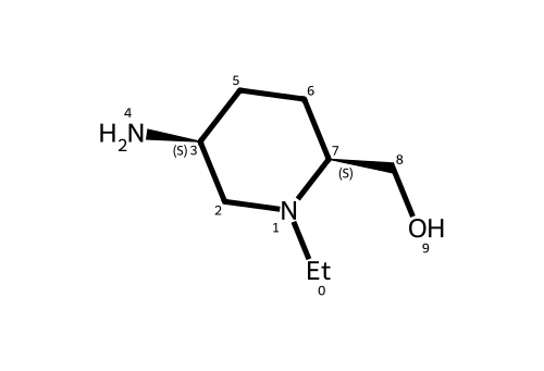 CCN1C[C@@H](N)CC[C@H]1CO